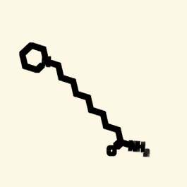 NC(=O)CCCCCCCCCN1CCCCC1